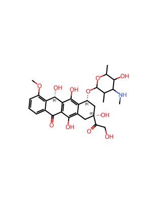 CNC1C(C)C(O[C@@H]2C[C@@](O)(C(=O)CO)Cc3c(O)c4c(c(O)c32)[C@@H](O)c2c(OC)cccc2C4=O)OC(C)C1O